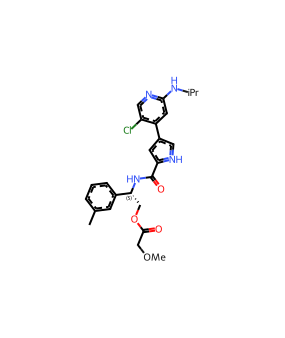 COCC(=O)OC[C@@H](NC(=O)c1cc(-c2cc(NC(C)C)ncc2Cl)c[nH]1)c1cccc(C)c1